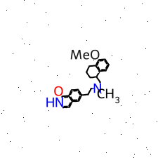 COc1cccc2c1CCCC2CN(C)CCc1ccc2c(=O)[nH]ccc2c1